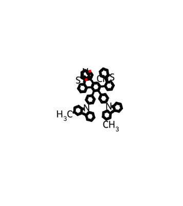 Cc1ccc2c(c1)c1ccccc1n2-c1ccc(-c2c(-c3cccc4sc5ccccc5c34)c(C#N)c(-c3ccncc3)c(-c3cccc4sc5ccccc5c34)c2-c2ccc(-n3c4ccccc4c4cc(C)ccc43)cc2)cc1